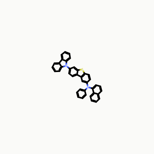 c1ccc(N(c2ccc3sc4cc(-n5c6ccccc6c6ccccc65)ccc4c3c2)c2cccc3ccccc23)cc1